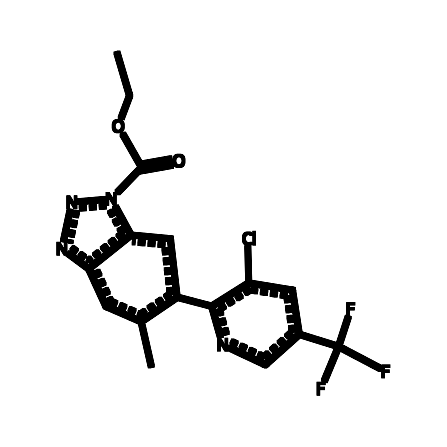 CCOC(=O)n1nnc2cc(C)c(-c3ncc(C(F)(F)F)cc3Cl)cc21